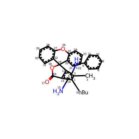 CCCCc1c(C)c(Nc2ccccc2)c2c(c1N)C(=O)OC21c2ccccc2Oc2ccccc21